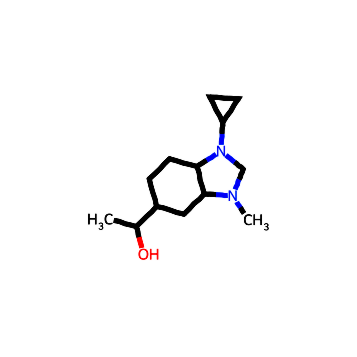 CC(O)C1CCC2C(C1)N(C)CN2C1CC1